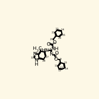 Cc1c(NC(=NC(=O)OCc2ccccc2)NC(=O)OCc2ccccc2)ccc2[nH]cnc12